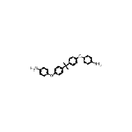 CC(C)(c1ccc(Oc2ccc(N)cc2)cc1)c1ccc(Oc2ccc(N)cc2)cc1